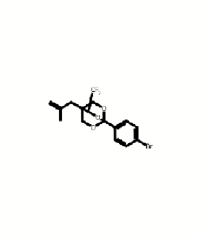 C=C(C)CC12COC(c3ccc(Br)cc3)(OC1)OC2C(F)(F)F